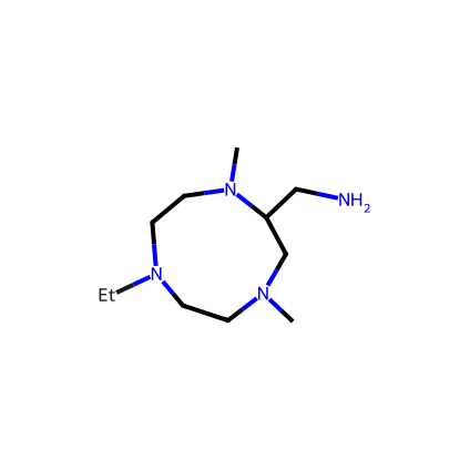 CCN1CCN(C)CC(CN)N(C)CC1